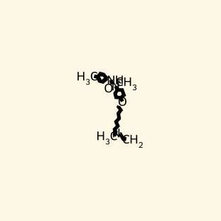 C=CCN(C)CCCCCCCOC1CCC(N(C)C(=O)Nc2ccc(C)cc2)CC1